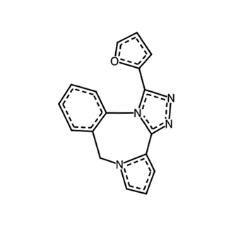 c1coc(-c2nnc3n2-c2ccccc2Cn2cccc2-3)c1